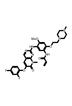 C=CC(=O)Nc1cc(Nc2ncc3cc(Oc4ccc(F)cc4F)c(=O)n(C)c3n2)c(OC)cc1OCCN1CCN(C)CC1